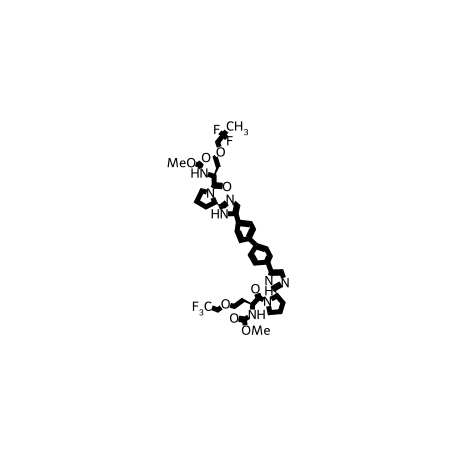 COC(=O)N[C@@H](CCOCC(C)(F)F)C(=O)N1CCC[C@H]1c1ncc(-c2ccc(-c3ccc(-c4cnc([C@@H]5CCCN5C(=O)[C@H](CCOCC(F)(F)F)NC(=O)OC)[nH]4)cc3)cc2)[nH]1